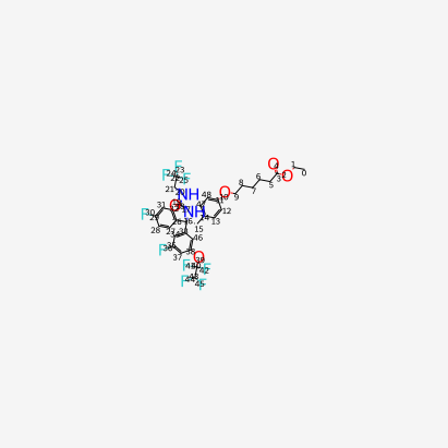 CCOC(=O)CCCCCOc1ccc(C[C@@](NC(=O)NCC(F)(F)F)(c2ccc(F)cc2)c2cc(F)cc(OC(F)(F)C(F)F)c2)cc1